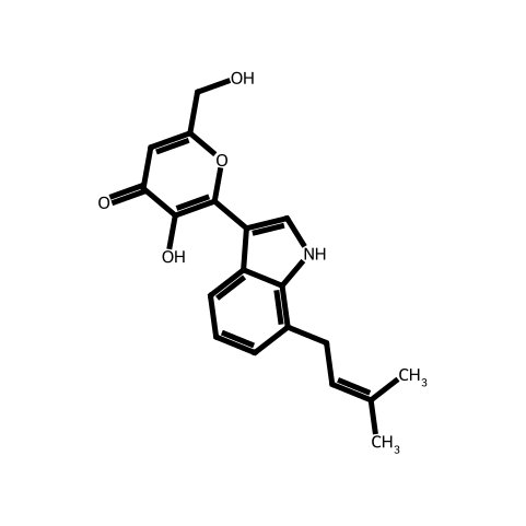 CC(C)=CCc1cccc2c(-c3oc(CO)cc(=O)c3O)c[nH]c12